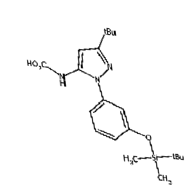 CC(C)(C)c1cc(NC(=O)O)n(-c2cccc(O[Si](C)(C)C(C)(C)C)c2)n1